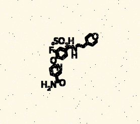 CS(=O)(=O)O.NC(=O)c1ccc(Oc2ccc(CNCCC3CCOCC3)cc2F)nc1